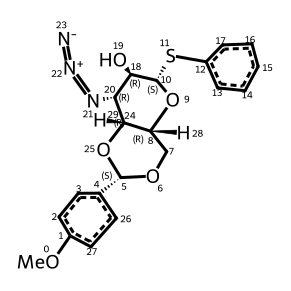 COc1ccc([C@H]2OC[C@H]3O[C@@H](Sc4ccccc4)[C@H](O)[C@@H](N=[N+]=[N-])[C@H]3O2)cc1